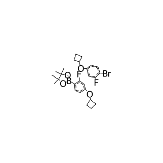 CC1(C)OB(c2ccc(OC3CCC3)cc2F)OC1(C)C.Fc1cc(OC2CCC2)ccc1Br